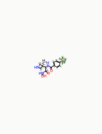 CC1([C@H](NC(=O)c2ccc(S(F)(F)(F)(F)F)cc2)C(=O)NO)CNC1